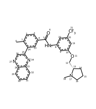 Cc1ccc(C(=O)Nc2cc(OC[C@@H]3CCCN3C)cc(C(F)(F)F)c2)cc1-c1cnc2ccccc2n1